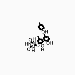 Cc1ccc(O)cc1.Cc1ccc(O)cc1.Cc1ccc(O)cc1.O=c1[nH]c(=O)[nH]c(=O)[nH]1